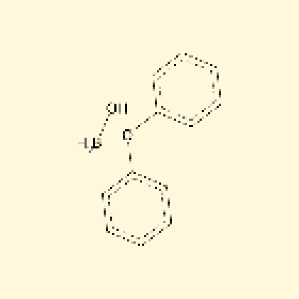 BO.c1ccc(Oc2ccccc2)cc1